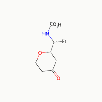 CCC(NC(=O)O)C1CC(=O)CCO1